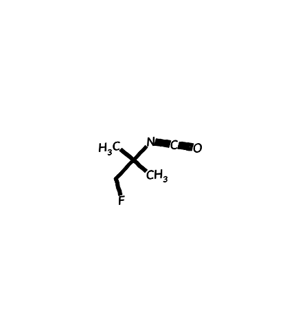 CC(C)(CF)N=C=O